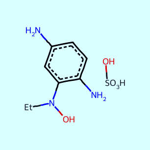 CCN(O)c1cc(N)ccc1N.O=S(=O)(O)O